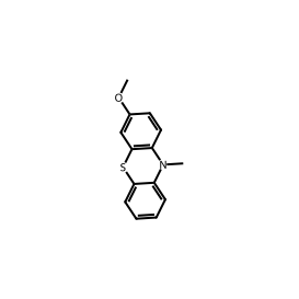 COc1ccc2c(c1)Sc1ccccc1N2C